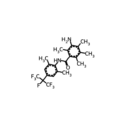 Cc1cc(C(F)(C(F)(F)F)C(F)(F)F)cc(C)c1NC(=O)c1c(C)c(C)c(C)c(N)c1C